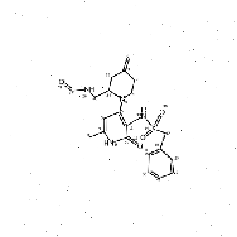 C=C1CCN(c2cc(C)[nH]c(=O)c2NS(=O)(=O)Cc2ccccc2)C(CNC=O)C1